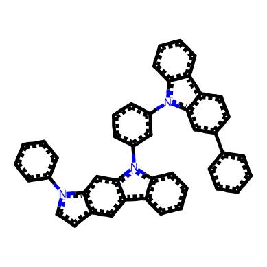 c1ccc(-c2ccc3c4ccccc4n(-c4cccc(-n5c6ccccc6c6cc7ccn(-c8ccccc8)c7cc65)c4)c3c2)cc1